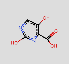 O=C(O)c1nc(O)ncc1O